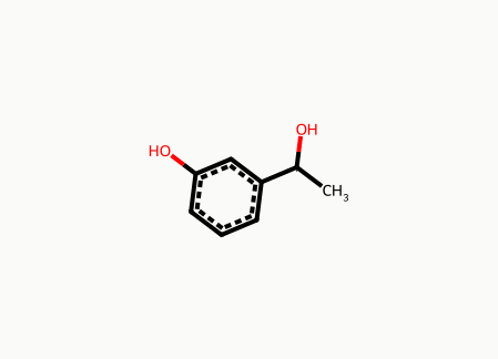 C[C](O)c1cccc(O)c1